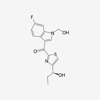 CC[C@H](O)c1csc(C(=O)c2cn(CO)c3cc(F)ccc23)n1